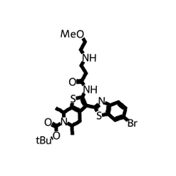 COCCNCCC(=O)Nc1sc2c(c1-c1nc3ccc(Br)cc3s1)CC(C)N(C(=O)OC(C)(C)C)C2C